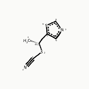 C[C@@H](SC#N)c1cncs1